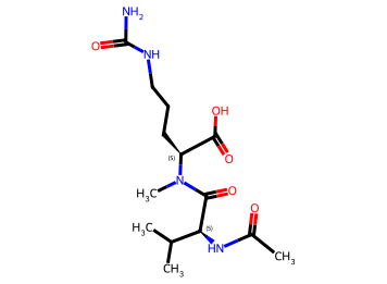 CC(=O)N[C@H](C(=O)N(C)[C@@H](CCCNC(N)=O)C(=O)O)C(C)C